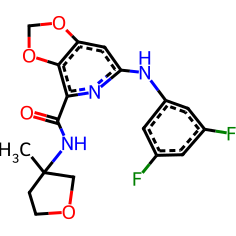 CC1(NC(=O)c2nc(Nc3cc(F)cc(F)c3)cc3c2OCO3)CCOC1